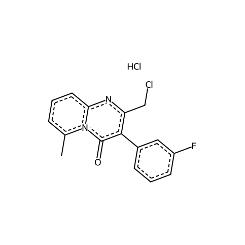 Cc1cccc2nc(CCl)c(-c3cccc(F)c3)c(=O)n12.Cl